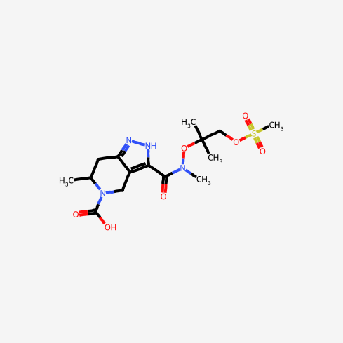 CC1Cc2n[nH]c(C(=O)N(C)OC(C)(C)COS(C)(=O)=O)c2CN1C(=O)O